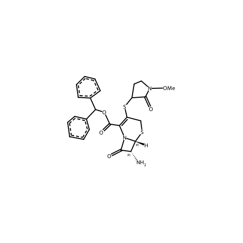 CON1CCC(SC2=C(C(=O)OC(c3ccccc3)c3ccccc3)N3C(=O)[C@@H](N)[C@H]3SC2)C1=O